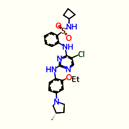 CCOc1cc(N2CC[C@H](C)C2)ccc1Nc1ncc(Cl)c(Nc2ccccc2S(=O)(=O)NC2CCC2)n1